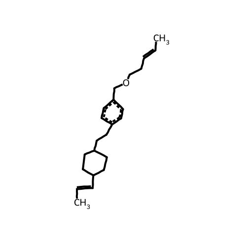 CC=CCCOCc1ccc(CCC2CCC(C=CC)CC2)cc1